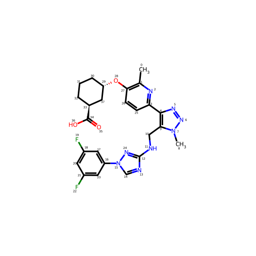 Cc1nc(-c2nnn(C)c2CNc2ncn(-c3cc(F)cc(F)c3)n2)ccc1O[C@H]1CCC[C@H](C(=O)O)C1